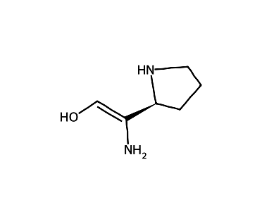 NC(=CO)[C@@H]1CCCN1